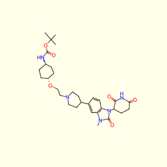 Cn1c(=O)n(C2CCC(=O)NC2=O)c2ccc(C3CCN(CCO[C@H]4CC[C@H](NC(=O)OC(C)(C)C)CC4)CC3)cc21